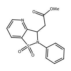 COC(=O)CC1c2ncccc2S(=O)(=O)N1c1ccccc1